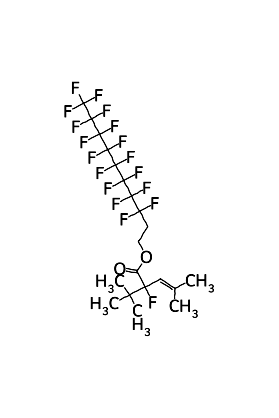 CC(C)=CC(F)(C(=O)OCCC(F)(F)C(F)(F)C(F)(F)C(F)(F)C(F)(F)C(F)(F)C(F)(F)C(F)(F)F)C(C)(C)C